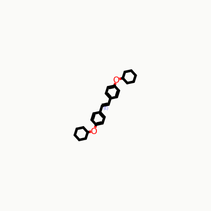 C(=C\c1ccc(OC2CCCCC2)cc1)/c1ccc(OC2CCCCC2)cc1